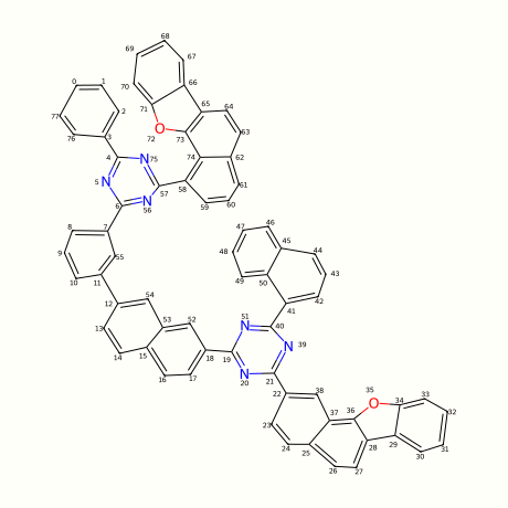 c1ccc(-c2nc(-c3cccc(-c4ccc5ccc(-c6nc(-c7ccc8ccc9c%10ccccc%10oc9c8c7)nc(-c7cccc8ccccc78)n6)cc5c4)c3)nc(-c3cccc4ccc5c6ccccc6oc5c34)n2)cc1